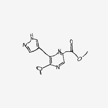 COC(=O)c1cnc(OC)c(-c2cn[nH]c2)n1